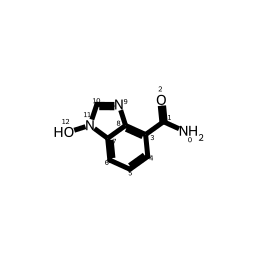 NC(=O)c1cccc2c1ncn2O